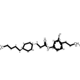 CCCCC[C@H]1CC[C@H](CCC(=O)Oc2ccc(CCC)c(F)c2)CC1